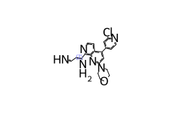 N=C/C=C(\N)c1nccc2c(-c3ccnc(Cl)c3)cc(N3CCOCC3)nc12